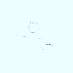 N#CCc1cnccc1CSC(=N)N